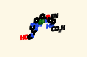 N#Cc1c2c(cc3nc(-c4cccc(-c5cccc(Nc6nccc7cc(CN8CC[C@@H](O)C8)cnc67)c5Cl)c4Cl)oc13)[C@@H](NCC(=O)O)CC2